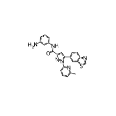 Cc1cccc(-n2nc(C(=O)Nc3cccc(N)c3)cc2-c2ccc3ncsc3c2)n1